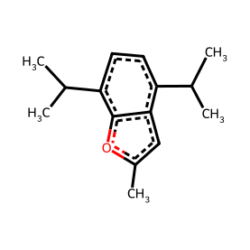 Cc1cc2c(C(C)C)ccc(C(C)C)c2o1